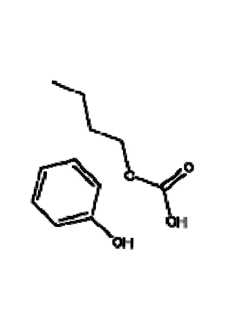 CCCCOC(=O)O.Oc1ccccc1